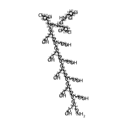 NCOCCN(CCCOCO)COCCN(CCCOCO)COCCN(CCCOCO)COCCN(CCCOCO)COCCN(CCCOCO)COCCN(CCCOCO)COCCN(CCCOCO)COCCN(CCCOCO)COCCN(CCCOCO)COCCN(CCC1=C(Cl)C=C(Cl)CC1)COCCN(CCC1=C(Cl)C=C(Cl)CC1)COCCNCCC1=C(Cl)C=C(Cl)CC1